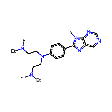 CCN(CC)CCN(CCN(CC)CC)c1ccc(-c2nc3cncnc3n2C)cc1